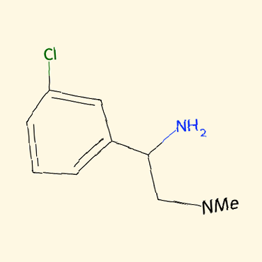 CNCC(N)c1cccc(Cl)c1